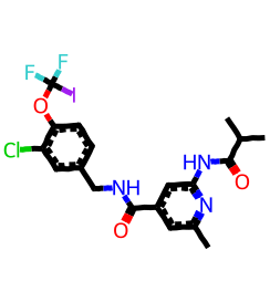 Cc1cc(C(=O)NCc2ccc(OC(F)(F)I)c(Cl)c2)cc(NC(=O)C(C)C)n1